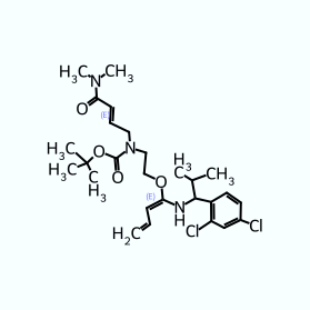 C=C/C=C(\NC(c1ccc(Cl)cc1Cl)C(C)C)OCCN(C/C=C/C(=O)N(C)C)C(=O)OC(C)(C)C